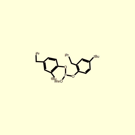 COP(Oc1ccc(C(C)(C)C)cc1CC(C)C)Oc1ccc(CC(C)C)cc1C(C)(C)C